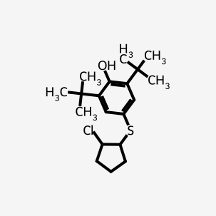 CC(C)(C)c1cc(SC2CCCC2Cl)cc(C(C)(C)C)c1O